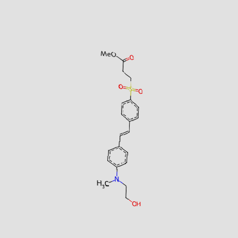 COC(=O)CCS(=O)(=O)c1ccc(C=Cc2ccc(N(C)CCO)cc2)cc1